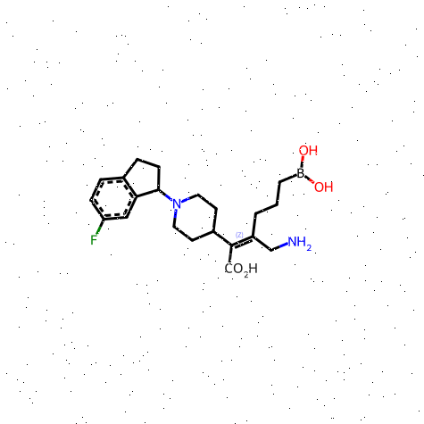 NC/C(CCCB(O)O)=C(\C(=O)O)C1CCN(C2CCc3ccc(F)cc32)CC1